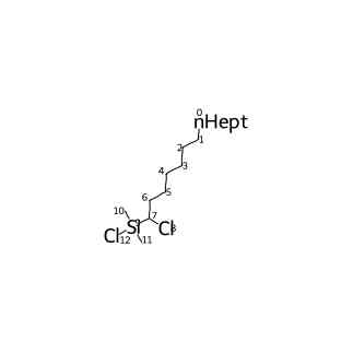 CCCCCCCCCCCCCC(Cl)[Si](C)(C)Cl